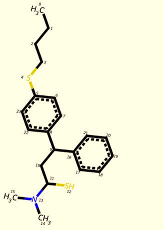 CCCCSc1ccc(C(CC(S)N(C)C)c2ccccc2)cc1